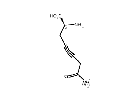 NC(=O)CC#CC[C@H](N)C(=O)O